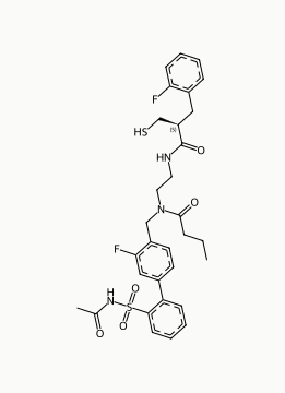 CCCC(=O)N(CCNC(=O)[C@@H](CS)Cc1ccccc1F)Cc1ccc(-c2ccccc2S(=O)(=O)NC(C)=O)cc1F